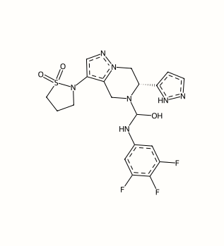 O=S1(=O)CCCN1c1cnn2c1CN(C(O)Nc1cc(F)c(F)c(F)c1)[C@@H](c1ccn[nH]1)C2